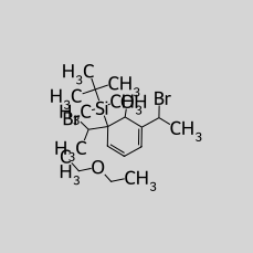 CC(Br)C1=CC=CC(C(C)Br)([Si](C)(C)C(C)(C)C)C1O.CCOCC